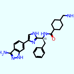 NCC1CCC(C(=O)N[C@@H](Cc2ccccc2)c2nc(-c3ccc4c(N)n[nH]c4c3)c[nH]2)CC1